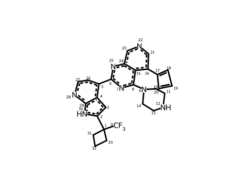 FC(F)(F)C1(c2cc3c(-c4nc(N5CCNCC5)c5c(C6=CC=C6)cncc5n4)ccnc3[nH]2)CCC1